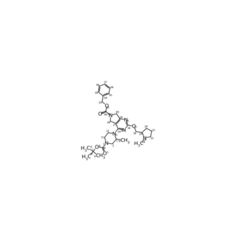 CC1CN(C(=O)OC(C)(C)C)CCN1c1nc(OCC2CCCN2C)nc2c1CN(C(=O)OCc1ccccc1)C2